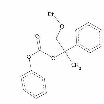 CCOCC(C)(OC(=O)Oc1ccccc1)c1ccccc1